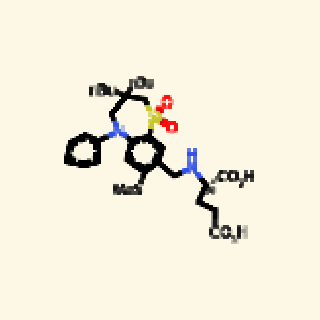 CCCCC1(CCCC)CN(c2ccccc2)c2cc(SC)c(CN[C@@H](CCC(=O)O)C(=O)O)cc2S(=O)(=O)C1